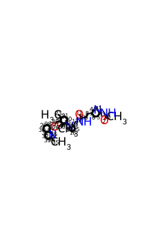 CC(=O)Nc1ccc(C=CC(=O)NCc2cccn2-c2ccc(C)c(COc3cccc4ccc(C)nc34)c2C)cn1